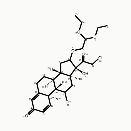 CCOC(COC1C[C@H]2[C@@H]3CCC4=CC(=O)C=C[C@]4(C)[C@@]3(F)C(O)C[C@]2(C)[C@@]1(O)C(=O)CCl)OCC